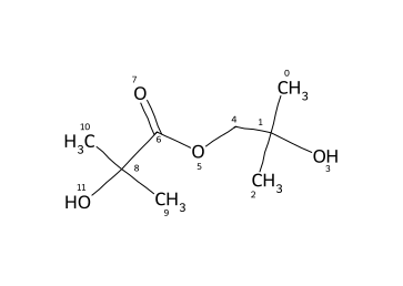 CC(C)(O)COC(=O)C(C)(C)O